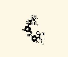 CN(C)c1noc(-c2cc(F)cc(CNc3ccc(N)c(C(=N)C(=O)O)c3)c2)n1